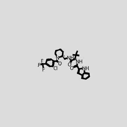 CC(C)(C)[C@H](NC(=O)c1cc2ccccc2[nH]1)C(=O)NC[C@@H]1CCCCN1C(=O)c1ccc(C(F)(F)F)cc1Cl